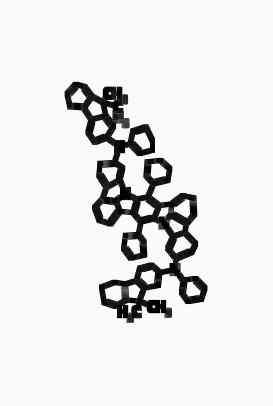 CC1(C)C2=C(CCC=C2)c2ccc(N(C3=CCC4C(=C3)n3c5c4cccc5c4c(C5=CCCC=C5)c5c(c(-c6ccccc6)c43)c3cccc4c6ccc(N(C7=CCCC=C7)c7ccc8c(c7)C(C)(C)c7ccccc7-8)cc6n5c43)c3ccccc3)cc21